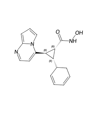 O=C(NO)[C@H]1[C@H](c2ccnc3cccn23)[C@H]1C1C=CC=CC1